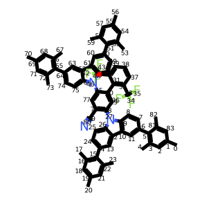 Cc1cc(C)c(-c2ccc3c(c2)c2cc(-c4c(C)cc(C)cc4C)ccc2n3-c2cc(-c3c(C(F)(F)F)cccc3C(F)(F)F)c(-n3c4ccc(-c5c(C)cc(C)cc5C)cc4c4cc(-c5c(C)cc(C)cc5C)ccc43)cc2C#N)c(C)c1